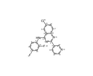 Fc1ccc(Nc2nc(-c3cccnc3)nc3ccc(Cl)cc23)c(F)c1